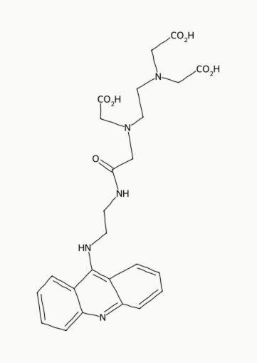 O=C(O)CN(CCN(CC(=O)O)CC(=O)NCCNc1c2ccccc2nc2ccccc12)CC(=O)O